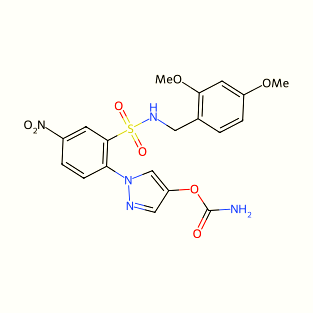 COc1ccc(CNS(=O)(=O)c2cc([N+](=O)[O-])ccc2-n2cc(OC(N)=O)cn2)c(OC)c1